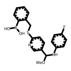 COC(Nc1ccc(F)cc1)c1ccc(SCc2ccccc2B(O)O)nc1